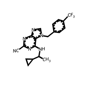 CC(Nc1nc(C#N)nc2ncn(Cc3ccc(C(F)(F)F)cc3)c12)C1CC1